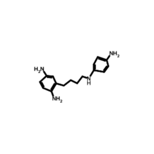 Nc1ccc(NCCCCc2cc(N)ccc2N)cc1